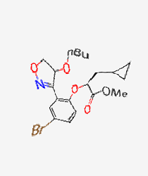 CCCCOC1CON=C1c1cc(Br)ccc1O[C@@H](CC1CC1)C(=O)OC